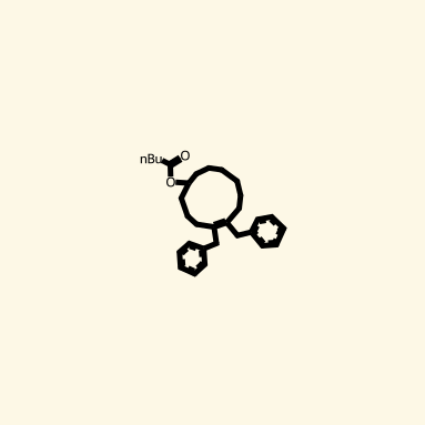 CCCCC(=O)OC1CCCCCCC(Cc2ccccc2)=C(Cc2ccccc2)CCC1